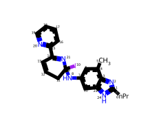 CCCc1nc2c(C)cc(NC3(I)CC=CC(c4ccccn4)=N3)cc2[nH]1